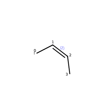 [CH]/C=C\C